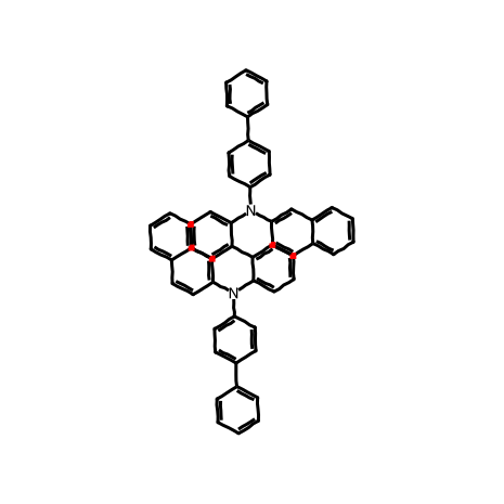 c1ccc(-c2ccc(N(c3ccc4ccccc4c3)c3ccccc3-c3ccccc3N(c3ccc(-c4ccccc4)cc3)c3ccc4ccccc4c3)cc2)cc1